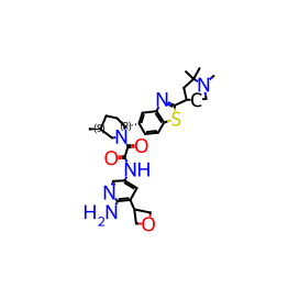 C[C@H]1CC[C@H](c2ccc3sc(C4CCN(C)C(C)(C)C4)nc3c2)N(C(=O)C(=O)Nc2cnc(N)c(C3COC3)c2)C1